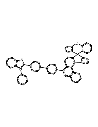 c1ccc(-n2c(-c3ccc(-c4ccc(-c5nc6ccccc6c6c7c(ccc56)C5(c6ccccc6Oc6ccccc65)c5ccccc5-7)cc4)cc3)nc3ccccc32)cc1